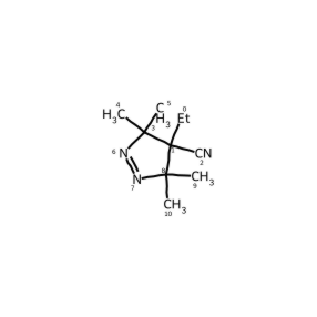 CCC1(C#N)C(C)(C)N=NC1(C)C